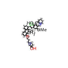 COc1cc(C=Cc2cccc(-c3cccc(OCCCN4CC[C@@H](O)C4)c3C)c2C)c(Cl)cc1CN1CCCC[C@H]1C(=O)O